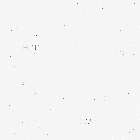 COC(=O)c1cc(F)c(N)c(CC2(CC#N)CC2)c1